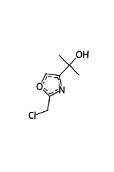 CC(C)(O)c1coc(CCl)n1